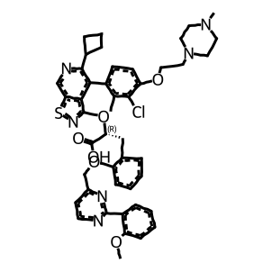 COc1ccccc1-c1nccc(COc2ccccc2C[C@@H](Oc2nsc3cnc(C4CCC4)c(-c4ccc(OCCN5CCN(C)CC5)c(Cl)c4C)c23)C(=O)O)n1